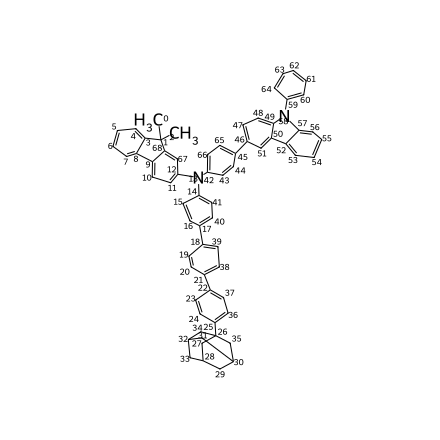 CC1(C)c2ccccc2-c2ccc(N(c3ccc(-c4ccc(-c5ccc(C67CC8CC(CC(C8)C6)C7)cc5)cc4)cc3)c3ccc(-c4ccc5c(c4)c4ccccc4n5-c4ccccc4)cc3)cc21